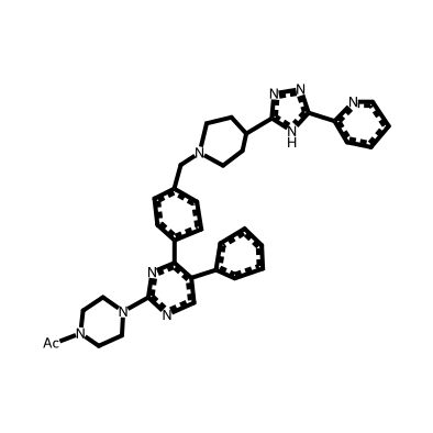 CC(=O)N1CCN(c2ncc(-c3ccccc3)c(-c3ccc(CN4CCC(c5nnc(-c6ccccn6)[nH]5)CC4)cc3)n2)CC1